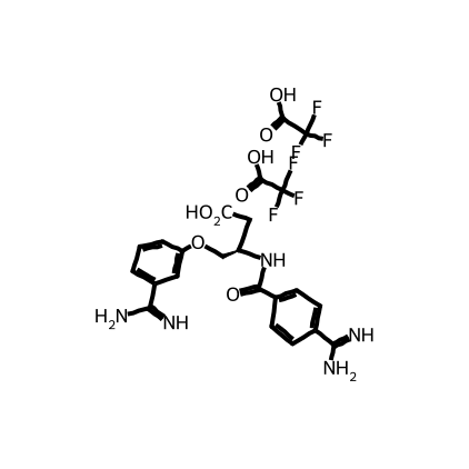 N=C(N)c1ccc(C(=O)N[C@@H](COc2cccc(C(=N)N)c2)CC(=O)O)cc1.O=C(O)C(F)(F)F.O=C(O)C(F)(F)F